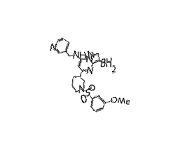 Bc1cnn2c(NCc3cccnc3)cc(C3CCCN(S(=O)(=O)c4cccc(OC)c4)C3)nc12